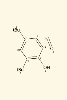 C=O.CC(C)(C)c1ccc(O)c(C(C)(C)C)c1